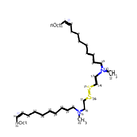 CCCCCCCC/C=C\CCCCCCCCN(C)CCSSCCN(C)CCCCCCCC/C=C\CCCCCCCC